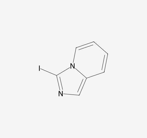 Ic1ncc2ccccn12